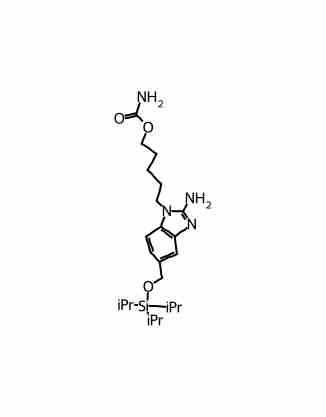 CC(C)[Si](OCc1ccc2c(c1)nc(N)n2CCCCCOC(N)=O)(C(C)C)C(C)C